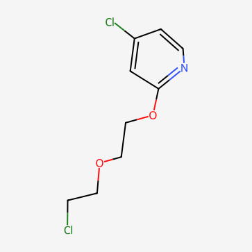 ClCCOCCOc1cc(Cl)ccn1